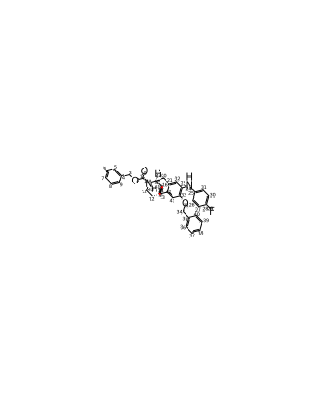 O=C(OCc1ccccc1)N1CC[C@@]23CCCC[C@@H]2[C@@H]1Cc1cc(Nc2ccc(F)cc2)c(OCc2ccccc2)cc13